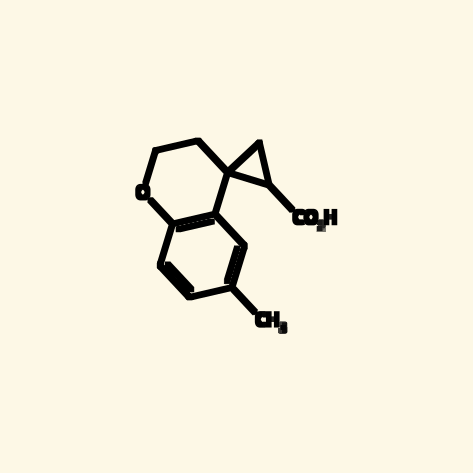 Cc1ccc2c(c1)C1(CCO2)CC1C(=O)O